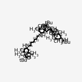 CCCCNC1CC(C)(C)N(OC(=O)C(C)(C)CCC2(C)CC(NCCCCCCNC3CC(C)(C)N(OC(=O)C(C)(C)C)C(C)(C)C3)CC(C)(C)N2OC(=O)C(C)(C)C)C(C)(C)C1